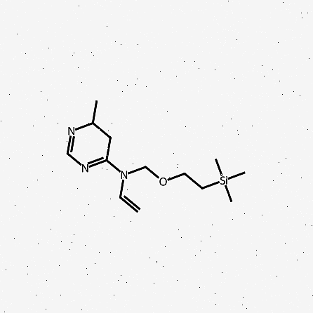 C=CN(COCC[Si](C)(C)C)C1=NC=NC(C)C1